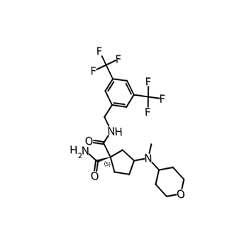 CN(C1CCOCC1)C1CC[C@](C(N)=O)(C(=O)NCc2cc(C(F)(F)F)cc(C(F)(F)F)c2)C1